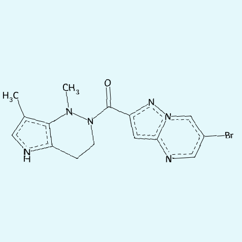 Cc1c[nH]c2c1N(C)N(C(=O)c1cc3ncc(Br)cn3n1)CC2